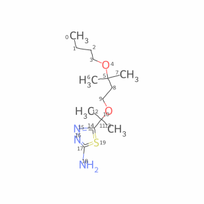 CCCCOC(C)(C)CCOC(C)(C)c1nnc(N)s1